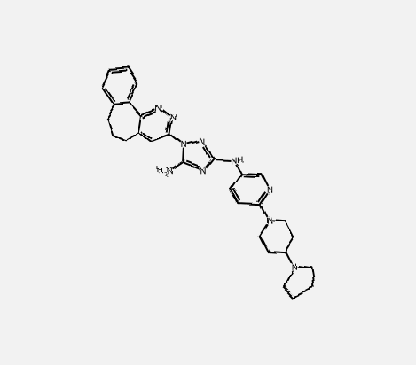 Nc1nc(Nc2ccc(N3CCC(N4CCCC4)CC3)nc2)nn1-c1cc2c(nn1)-c1ccccc1CCC2